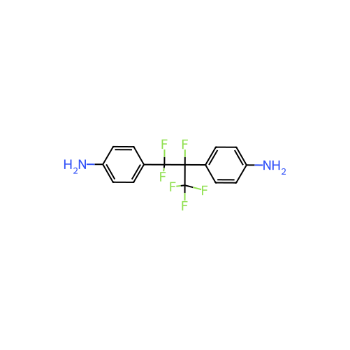 Nc1ccc(C(F)(F)C(F)(c2ccc(N)cc2)C(F)(F)F)cc1